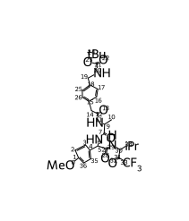 COc1ccc(C(NC(=O)C(C)NC(=O)Cc2ccc(CNC(=O)OC(C)(C)C)cc2)C(=O)NC(C(=O)C(F)(F)F)C(C)C)cc1